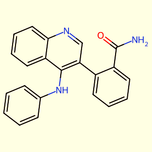 NC(=O)c1ccccc1-c1cnc2ccccc2c1Nc1ccccc1